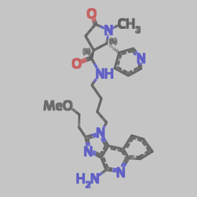 COCCc1nc2c(N)nc3ccccc3c2n1CCCCNC(=O)[C@H]1CC(=O)N(C)[C@@H]1c1cccnc1